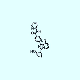 Nc1nccn2c([C@@H]3CCCN3O)nc(-c3ccc(C(=O)Nc4ccccn4)cc3)c12